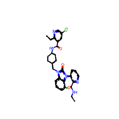 CCNC(=O)c1ncccc1-n1c(=O)n(CC2CCC(NC(=O)c3cc(Cl)cnc3CC)CC2)c2cccc(F)c21